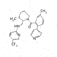 Cc1ccc(-c2ccncc2)c(C(=O)N2CCC[C@@H](C)C2CNc2ccc(C(F)(F)F)cn2)c1